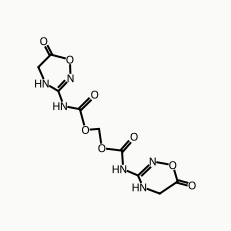 O=C1CNC(NC(=O)OCOC(=O)NC2=NOC(=O)CN2)=NO1